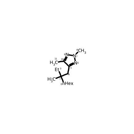 CCCCCCC(C)(CC)Cc1nn(C)nc1C